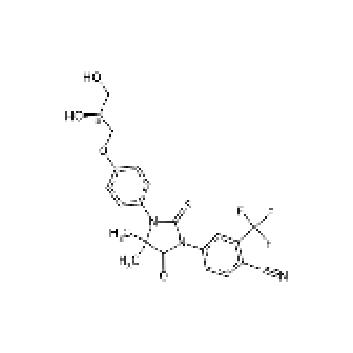 CC1(C)C(=O)N(c2ccc(C#N)c(C(F)(F)F)c2)C(=S)N1c1ccc(OC[C@@H](O)CO)cc1